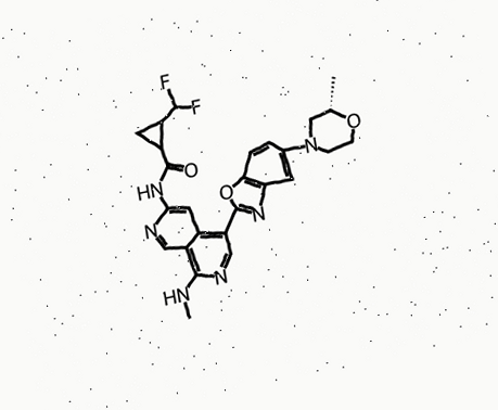 CNc1ncc(-c2nc3cc(N4CCO[C@@H](C)C4)ccc3o2)c2cc(NC(=O)C3CC3C(F)F)ncc12